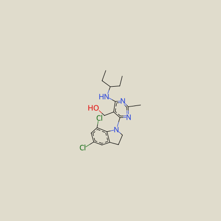 CCC(CC)Nc1nc(C)nc(N2CCc3cc(Cl)cc(Cl)c32)c1CO